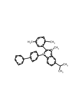 Cc1ccc(C)c(-c2n(-c3ccc(-c4ccccc4)cc3)c3ccc(C(C)C)cc3[n+]2C)c1